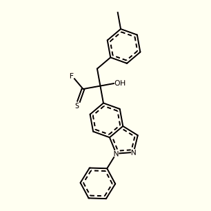 Cc1cccc(CC(O)(C(F)=S)c2ccc3c(cnn3-c3ccccc3)c2)c1